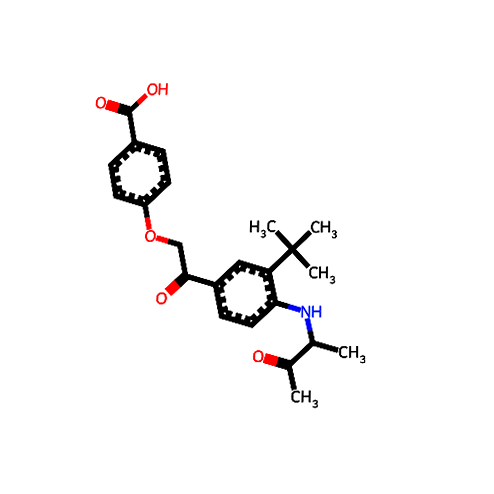 CC(=O)C(C)Nc1ccc(C(=O)COc2ccc(C(=O)O)cc2)cc1C(C)(C)C